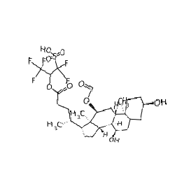 C[C@H](CCC(=O)OC(C(F)(F)F)C(F)(F)S(=O)(=O)O)[C@H]1CC[C@H]2[C@@H]3[C@H](O)CC4C[C@H](O)CC[C@]4(C)[C@H]3C[C@H](OC=O)[C@]12C